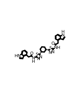 O=C(Cc1cccc2[nH]ccc12)Nc1nnc([C@@H]2CCC[C@H](c3nnc(NC(=O)Cc4cccc5[nH]ccc45)s3)C2)s1